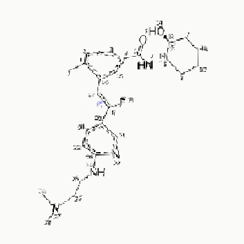 Cc1ccc(C(=O)N[C@H]2CCCC[C@@H]2O)cc1/C=C(\F)c1ccc(NCCN(C)C)nc1